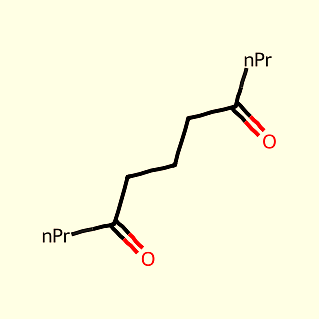 CCCC(=O)CCCC(=O)CCC